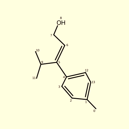 Cc1ccc(/C(=C/CO)C(C)C)cc1